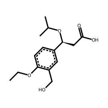 CCOc1ccc([C@H](CC(=O)O)OC(C)C)cc1CO